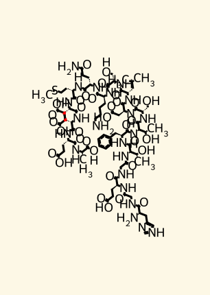 CSCC[C@H](NC(=O)[C@H](CCC(N)=O)NC(=O)[C@H](CCCCN)NC(=O)[C@H](CO)NC(=O)[C@H](CC(C)C)NC(=O)[C@H](CC(=O)O)NC(=O)[C@H](CO)NC(=O)[C@@H](NC(=O)[C@H](Cc1ccccc1)NC(=O)[C@@H](NC(=O)CNC(=O)[C@H](CCC(=O)O)NC(=O)CNC(=O)[C@@H](N)Cc1c[nH]cn1)[C@@H](C)O)[C@@H](C)O)C(=O)N[C@@H](CCC(=O)O)C(=O)N[C@@H](CCC(=O)O)C(=O)N[C@@H](CCC(=O)O)C(=O)N[C@@H](C)C(=O)O